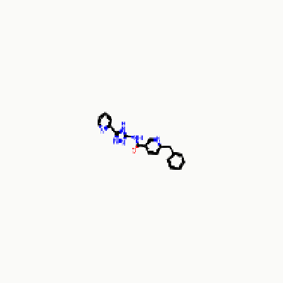 O=C(Nc1nnc(-c2ccccn2)[nH]1)c1ccc(Cc2ccccc2)nc1